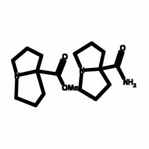 COC(=O)C12CCCN1CCC2.NC(=O)C12CCCN1CCC2